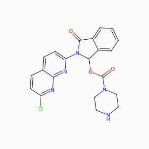 O=C(OC1c2ccccc2C(=O)N1c1ccc2ccc(Cl)nc2n1)N1CCNCC1